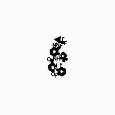 CC1(C)CCN(c2c(NC(=O)c3ccc(=O)n(-c4c(F)cccc4F)n3)ccc3nn(C4(C(F)(F)F)CC4)cc23)C1